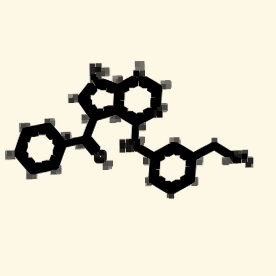 NCc1cccc(Nc2ncnc3[nH]cc(C(=O)c4ccccc4)c23)c1